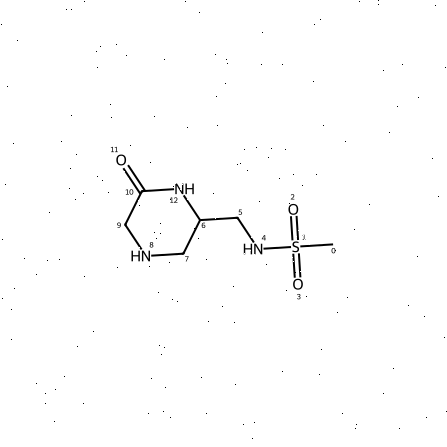 CS(=O)(=O)NCC1CNCC(=O)N1